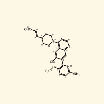 Nc1ccc(OC(F)(F)F)c(-c2cc3ncnc(N4CCN(C=CC=O)CC4)c3cc2Cl)n1